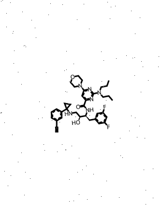 C#Cc1cccc(C2(NC[C@H](O)[C@H](Cc3cc(F)cc(F)c3)NC(=O)c3cc(N4CCOCC4)nc(N(CCC)CCC)n3)CC2)c1